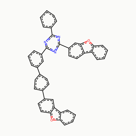 c1ccc(-c2nc(-c3cccc(-c4ccc(-c5ccc6oc7ccccc7c6c5)cc4)c3)nc(-c3ccc4c(c3)oc3ccccc34)n2)cc1